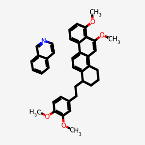 COc1ccc(CCC2CCCc3c2ccc2c3cc(OC)c3c(OC)cccc32)cc1OC.c1ccc2cnccc2c1